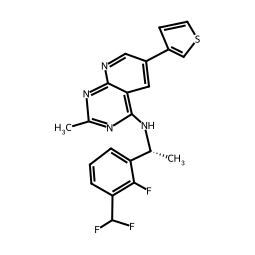 Cc1nc(N[C@H](C)c2cccc(C(F)F)c2F)c2cc(-c3ccsc3)cnc2n1